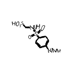 CNc1ccc(S(=O)(=O)NCS(=O)(=O)O)cc1